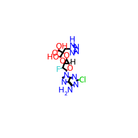 Nc1nc(Cl)nc2c1ncn2[C@@H]1O[C@@H]2C(OC(Cc3nnn[nH]3)(C(=O)O)C(=O)O)C2[C@@H]1F